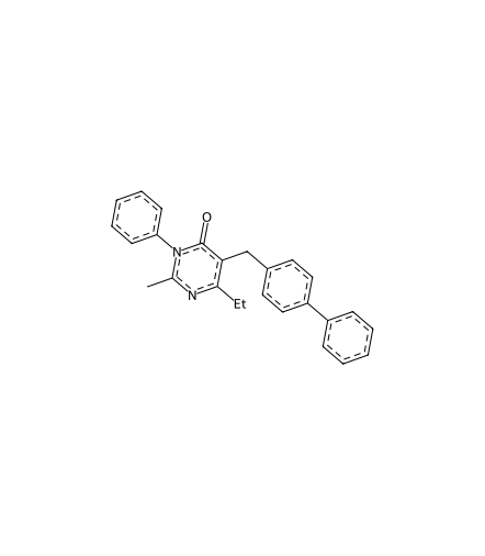 CCc1nc(C)n(-c2ccccc2)c(=O)c1Cc1ccc(-c2ccccc2)cc1